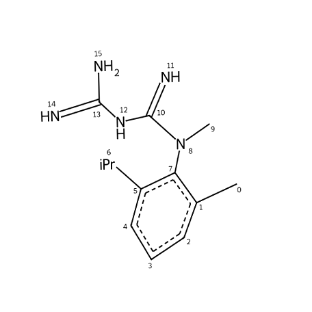 Cc1cccc(C(C)C)c1N(C)C(=N)NC(=N)N